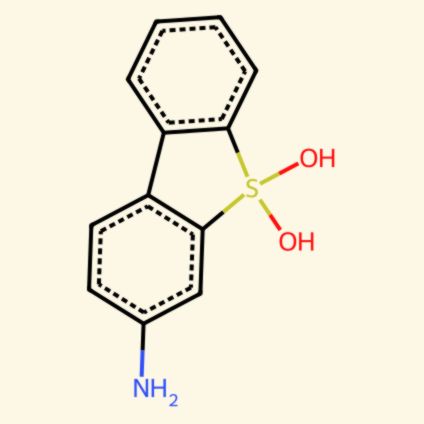 Nc1ccc2c(c1)S(O)(O)c1ccccc1-2